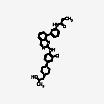 C=CC(=O)Nc1cccc(-c2cccc3cnc(Nc4ccc(N5CCN(CC(C)O)CC5)cc4Cl)nc23)c1